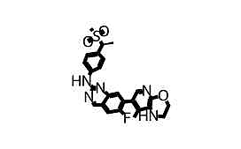 Cc1c(-c2cc3nc(Nc4ccc([C@H](C)S(C)(=O)=O)cc4)ncc3cc2F)cnc2c1NCCO2